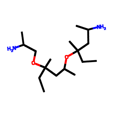 CCC(C)(CC(C)OC(C)(CC)CC(C)N)OCC(C)N